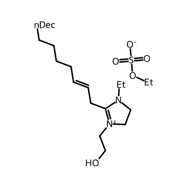 CCCCCCCCCCCCCCC=CCC1=[N+](CCO)CCN1CC.CCOS(=O)(=O)[O-]